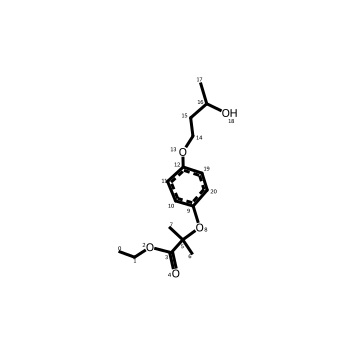 CCOC(=O)C(C)(C)Oc1ccc(OCCC(C)O)cc1